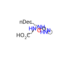 CCCCCCCCCCCCCCC(CNC#CCCC(=O)O)NC(=O)c1cccc(NC2=NCCCCC2)c1